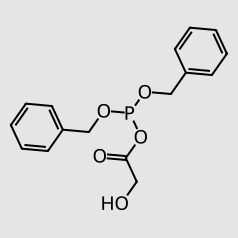 O=C(CO)OP(OCc1ccccc1)OCc1ccccc1